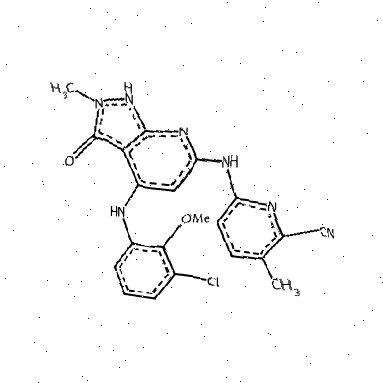 COc1c(Cl)cccc1Nc1cc(Nc2ccc(C)c(C#N)n2)nc2[nH]n(C)c(=O)c12